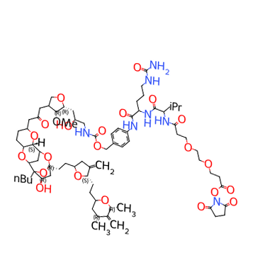 C=C1CC(CC[C@]23C[C@@H](O)C(CCCC)(O2)C2CC(O3)[C@H]3OC(CC(=O)CC4CO[C@H](CC(O)CNC(=O)OCc5ccc(NC(=O)C(CCCNC(N)=O)NC(=O)C(NC(=O)CCOCCOCCC(=O)ON6C(=O)CCC6=O)C(C)C)cc5)[C@@H]4OC)CCC3O2)O[C@H]1CCC1C[C@@H](C)C(=C)[C@@H](C)O1